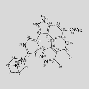 CCN1C2CC1CN(c1ccc(-c3n[nH]c4cc(OC)c(OC(C)c5c(C)cnnc5C)cc34)cn1)C2